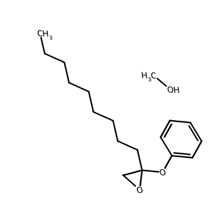 CCCCCCCCCC1(Oc2ccccc2)CO1.CO